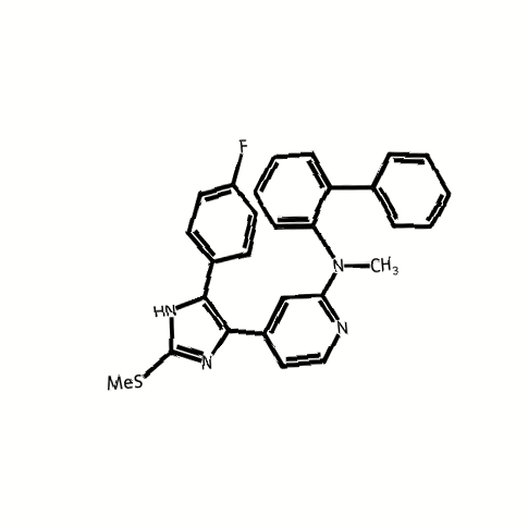 CSc1nc(-c2ccnc(N(C)c3ccccc3-c3ccccc3)c2)c(-c2ccc(F)cc2)[nH]1